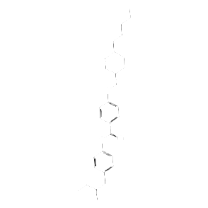 CCCCCC1CCC(COc2ccc(C(=O)Oc3ccc(CC(C)CC)cc3)cc2)CC1